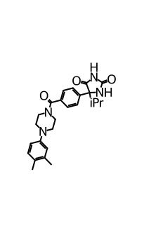 Cc1ccc(N2CCN(C(=O)c3ccc(C4(C(C)C)NC(=O)NC4=O)cc3)CC2)cc1C